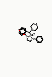 O=P1(C(c2ccncc2)N2CCSCC2)N(c2ccccc2)CCN1c1ccccc1